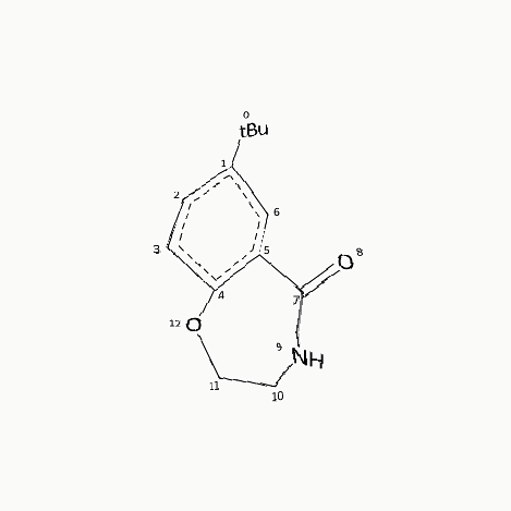 CC(C)(C)c1ccc2c(c1)C(=O)NCCO2